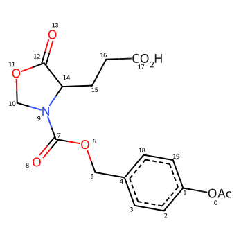 CC(=O)Oc1ccc(COC(=O)N2COC(=O)C2CCC(=O)O)cc1